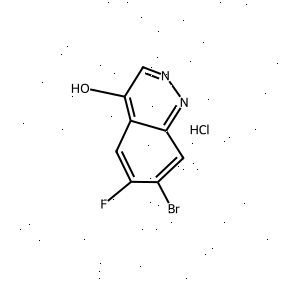 Cl.Oc1cnnc2cc(Br)c(F)cc12